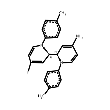 Cc1ccc(N2C=CC(N)=C[C@@H]2[C@H]2C=C(F)C=CN2c2ccc(C)cc2)cc1